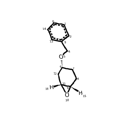 c1ccc(CO[C@@H]2CC[C@@H]3O[C@@H]3C2)cc1